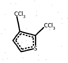 ClC(Cl)(Cl)c1ccsc1C(Cl)(Cl)Cl